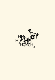 CC1CNCCN1C(=O)c1nc(-c2ccc(OC(F)F)c(OCC3CC3)c2)oc1[C@H](C)N